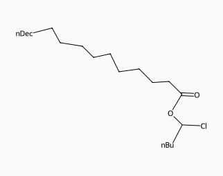 CCCCCCCCCCCCCCCCCCCC(=O)OC(Cl)CCCC